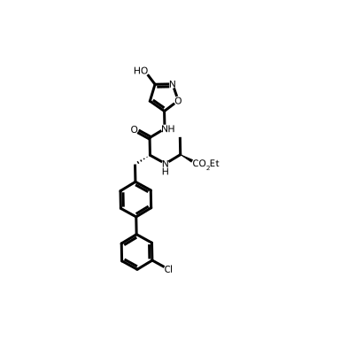 CCOC(=O)[C@H](C)N[C@H](Cc1ccc(-c2cccc(Cl)c2)cc1)C(=O)Nc1cc(O)no1